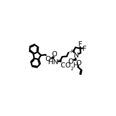 C=CCOC(=O)N1CC(F)(F)C[C@H]1CCC[C@H](NC(=O)OCC1c2ccccc2-c2ccccc21)C(=O)O